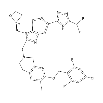 Cc1cc2c(nc1OCc1c(F)cc(Cl)cc1F)CN(Cc1nc3cc(-c4nnc(C(F)F)[nH]4)ncc3n1C[C@@H]1CCO1)CC2